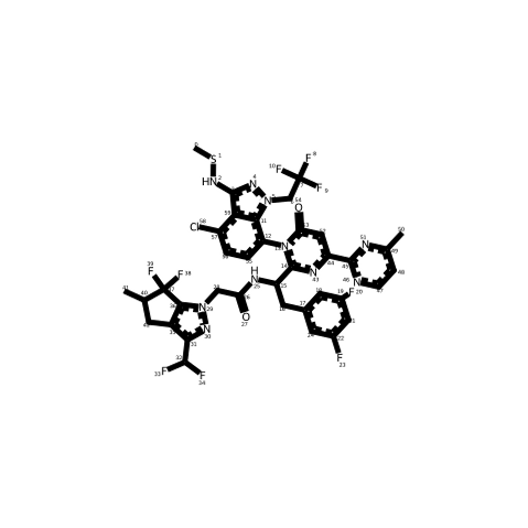 CSNc1nn(CC(F)(F)F)c2c(-n3c(C(Cc4cc(F)cc(F)c4)NC(=O)Cn4nc(C(F)F)c5c4C(F)(F)C(C)C5)nc(-c4nccc(C)n4)cc3=O)ccc(Cl)c12